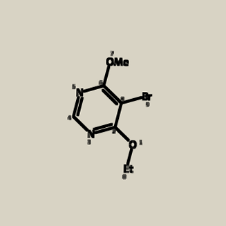 CCOc1ncnc(OC)c1Br